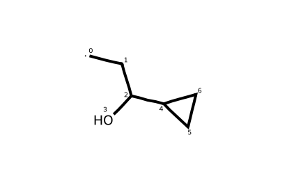 [CH2]CC(O)C1CC1